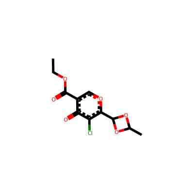 CCOC(=O)c1coc(C2OC(C)O2)c(Cl)c1=O